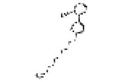 CCCCCCCCCCc1ccc(-c2ccccc2C#N)cc1